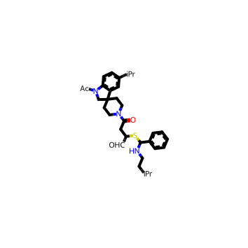 CC(=O)N1CC2(CCN(C(=O)CC(C=O)SC(NCCC(C)C)c3ccccc3)CC2)c2cc(C(C)C)ccc21